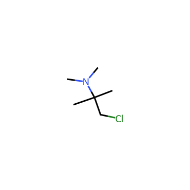 CN(C)C(C)(C)CCl